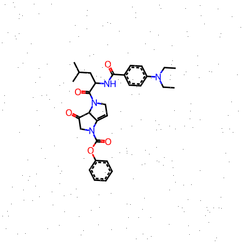 CCN(CC)c1ccc(C(=O)NC(CC(C)C)C(=O)N2CC=C3C2C(=O)CN3C(=O)Oc2ccccc2)cc1